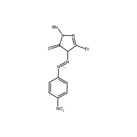 CCC1=NN(C(C)(C)C)C(=O)C1/N=N/c1ccc([N+](=O)[O-])cc1